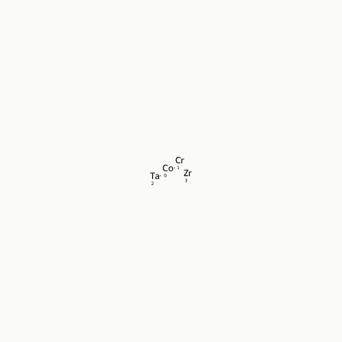 [Co].[Cr].[Ta].[Zr]